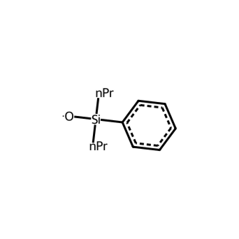 CCC[Si]([O])(CCC)c1ccccc1